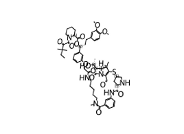 CCC(C)(C)C(=O)C(=O)N1CCCC[C@H]1C(=O)O[C@H](CCc1ccc(OC)c(OC)c1)c1cccc(OCC(=O)NCCCCCN(C)C(=O)c2cccc(NC(=O)[C@@H]3C[C@H](SC4=C(C=O)N5C(=O)[C@H]([C@@H](C)O)[C@H]5[C@H]4C)CN3)c2)c1